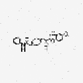 COc1ccc2c(c1)OCC(C(O)CN1CCN(CC(=O)Nc3ccccc3)CC1)O2